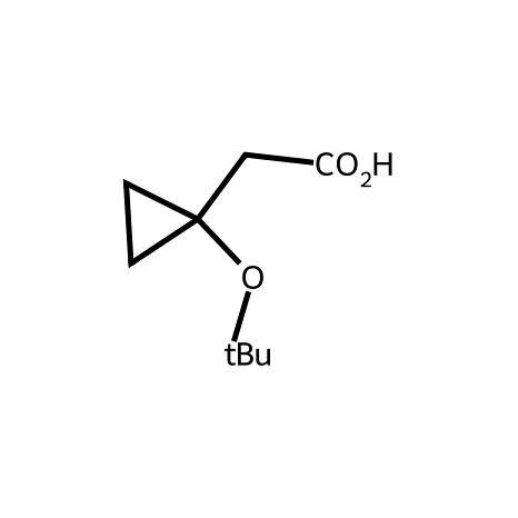 CC(C)(C)OC1(CC(=O)O)CC1